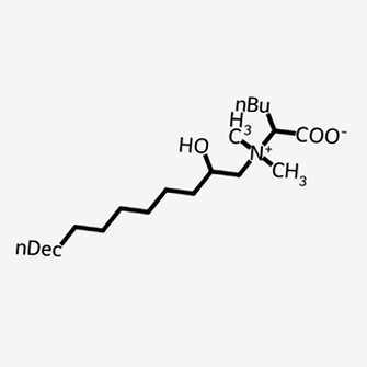 CCCCCCCCCCCCCCCCC(O)C[N+](C)(C)C(CCCC)C(=O)[O-]